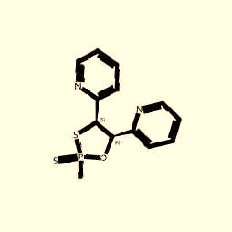 CP1(=S)O[C@H](c2ccccn2)[C@H](c2ccccn2)S1